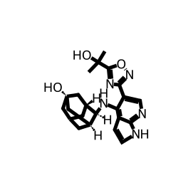 CC(C)(O)c1nc(-c2cnc3[nH]ccc3c2N[C@@H]2[C@@H]3CC4C[C@H]2C[C@@](O)(C4)C3)no1